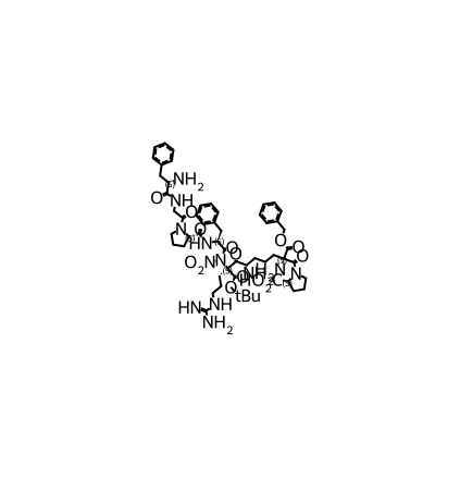 CC(C)(C)OC(=O)[C@](CCCNC(=N)N)(C(=O)C(N)CCC[C@@](N)(C(=O)OCc1ccccc1)C(=O)N1CCC[C@H]1C(=O)O)N(C(=O)[C@H](Cc1ccccc1)NC(=O)[C@@H]1CCCN1C(=O)CNC(=O)[C@@H](N)Cc1ccccc1)[N+](=O)[O-]